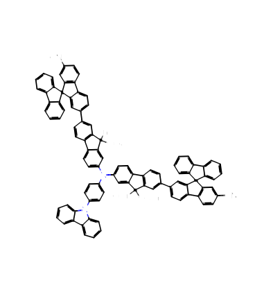 [C-]#[N+]c1ccc2c(c1)C1(c3ccccc3-c3ccccc31)c1cc(-c3ccc4c(c3)C(CCCCCCCC)(CCCCCCCC)c3cc(N(c5ccc(-n6c7ccccc7c7ccccc76)cc5)c5ccc6c(c5)C(CCCCCCCC)(CCCCCCCC)c5cc(-c7ccc8c(c7)C7(c9ccccc9-c9ccccc97)c7cc(C#N)ccc7-8)ccc5-6)ccc3-4)ccc1-2